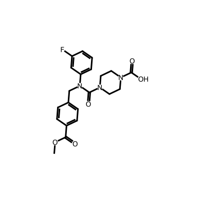 COC(=O)c1ccc(CN(C(=O)N2CCN(C(=O)O)CC2)c2cccc(F)c2)cc1